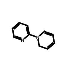 [C]1=CC=CCN1c1ccccn1